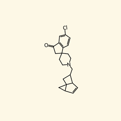 O=C1CC2(CCN(CC3CC45CC4C=CC35)CC2)c2ccc(Cl)cc21